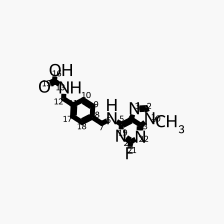 Cn1cnc2c(NCc3ccc(CNC(=O)O)cc3)nc(F)nc21